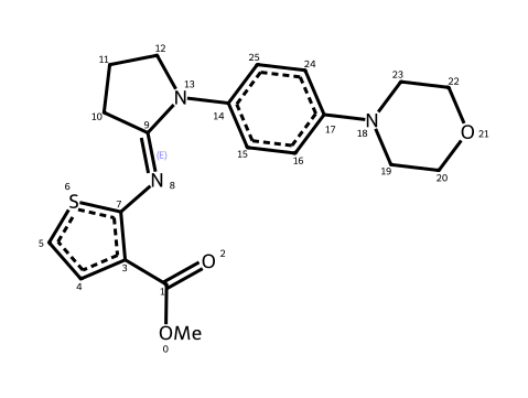 COC(=O)c1ccsc1/N=C1\CCCN1c1ccc(N2CCOCC2)cc1